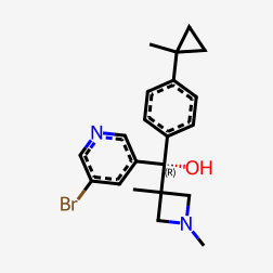 CN1CC(C)([C@](O)(c2ccc(C3(C)CC3)cc2)c2cncc(Br)c2)C1